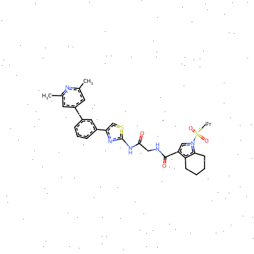 Cc1cc(-c2cccc(-c3csc(NC(=O)CNC(=O)c4cn(S(=O)(=O)C(C)C)c5c4CCCC5)n3)c2)cc(C)n1